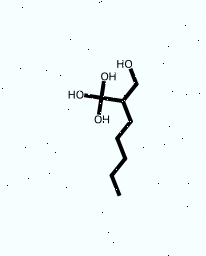 CCCCCC(CO)C(O)(O)O